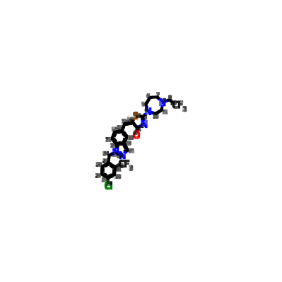 O=C1N=C(N2CCCN(CC(F)(F)F)CC2)SC1=Cc1ccc2c(cnn2Cc2ccc(Cl)cc2C(F)(F)F)c1